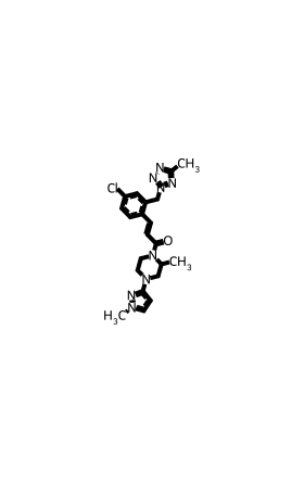 Cc1nnn(Cc2cc(Cl)ccc2C=CC(=O)N2CCN(c3ccn(C)n3)CC2C)n1